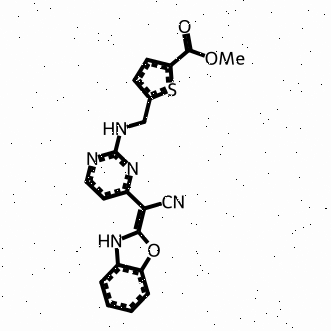 COC(=O)c1ccc(CNc2nccc(C(C#N)=C3Nc4ccccc4O3)n2)s1